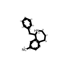 N#Cc1ccc2c(c1)C(Cc1ccccc1)NCCC2